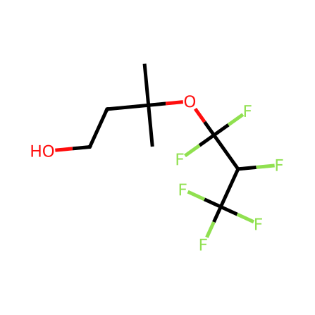 CC(C)(CCO)OC(F)(F)C(F)C(F)(F)F